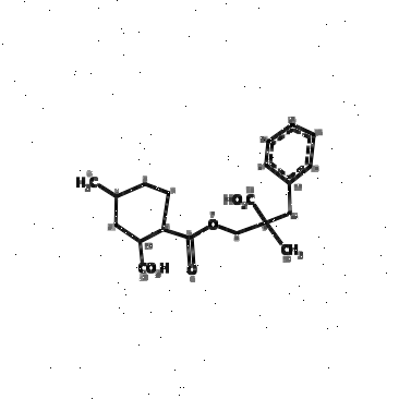 CC1CCC(C(=O)OCC(C)(Cc2ccccc2)C(=O)O)C(C(=O)O)C1